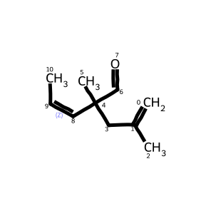 C=C(C)CC(C)(C=O)/C=C\C